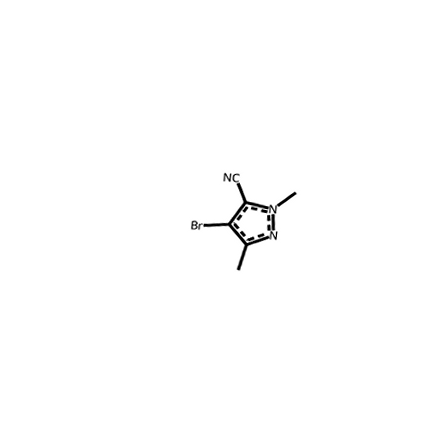 Cc1nn(C)c(C#N)c1Br